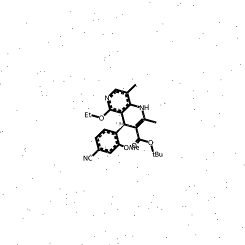 CCOc1ncc(C)c2c1[C@H](c1ccc(C#N)cc1OC)C(C(=O)OC(C)(C)C)=C(C)N2